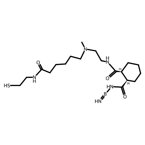 CN(CCCCCC(=O)NCCS)CCNC(=O)[C@H]1CCCC[C@H]1C(=O)NB=N